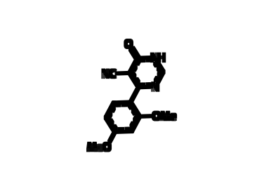 COc1ccc(-c2nc[nH]c(=O)c2C#N)c(OC)c1